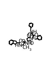 CC1C[C@H](NC(=O)[C@H](C)NC(=O)C2Cc3ccccc3C2)C(=O)N1[C@@H](Cc1ccccc1)C(=O)C(=O)NCc1ccccc1